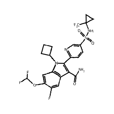 NC(=O)c1c(-c2ccc(S(=O)(=O)NC3(C(F)(F)F)CC3)cn2)n(C2CCC2)c2cc(OC(F)F)c(F)cc12